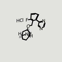 Cl.Fc1cccc(-c2cnccn2)c1CO[C@H]1C[C@H]2CC[C@@H](C1)N2